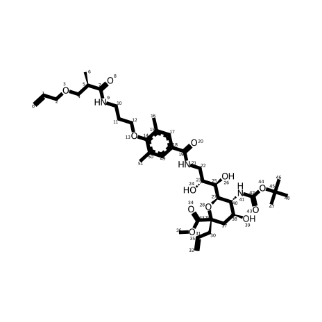 C=CCOC[C@@H](C)C(=O)NCCCOc1c(C)cc(C(=O)NC[C@@H](O)[C@@H](O)[C@@H]2O[C@@](CC=C)(C(=O)OC)C[C@H](O)[C@H]2NC(=O)OC(C)(C)C)cc1C